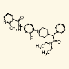 CCN(CC)C(=O)C(c1ccccc1)C1CCN(c2ccc(NC(=O)c3cccnc3C)cc2F)CC1